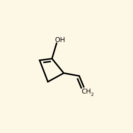 C=CC1CC=C1O